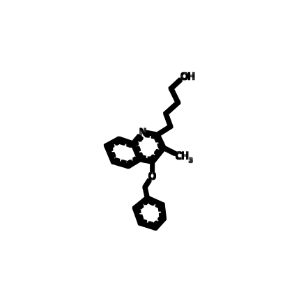 Cc1c(CCCCO)nc2ccccc2c1OCc1ccccc1